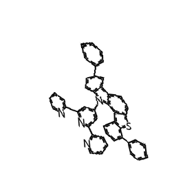 c1ccc(-c2ccc3c(c2)c2ccc4sc5c(-c6ccccc6)cccc5c4c2n3-c2cc(-c3ccccn3)nc(-c3ccccn3)c2)cc1